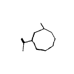 CC1CCCCCC(C(=O)Cl)C1